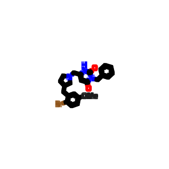 COc1ccc(Br)c(CC2CCN(Cc3cc(=O)n(Cc4ccccc4)c(=O)[nH]3)C2)c1